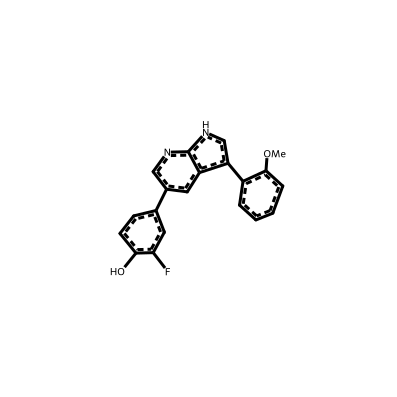 COc1ccccc1-c1c[nH]c2ncc(-c3ccc(O)c(F)c3)cc12